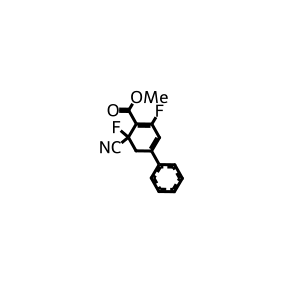 COC(=O)C1=C(F)C=C(c2ccccc2)CC1(F)C#N